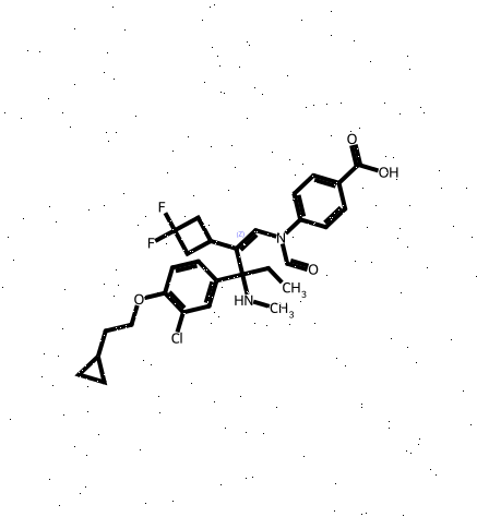 CCC(NC)(/C(=C\N(C=O)c1ccc(C(=O)O)cc1)C1CC(F)(F)C1)c1ccc(OCCC2CC2)c(Cl)c1